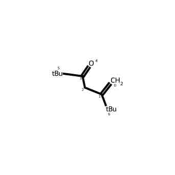 C=C(CC(=O)C(C)(C)C)C(C)(C)C